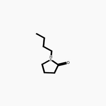 CCCC[SH]1CCCC1=O